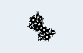 CC[Si](CC)(CC)c1cccc([Si](CC)(CC)CC)c1-c1ccc2c(c1)-c1cccc3c(-c4c([Si](CC)(CC)CC)cccc4[Si](CC)(CC)CC)ccc-2c13